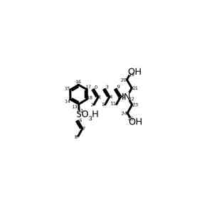 C=CC.C=CC.C=CC.C=CC.O=S(=O)(O)c1ccccc1.OCCNCCO